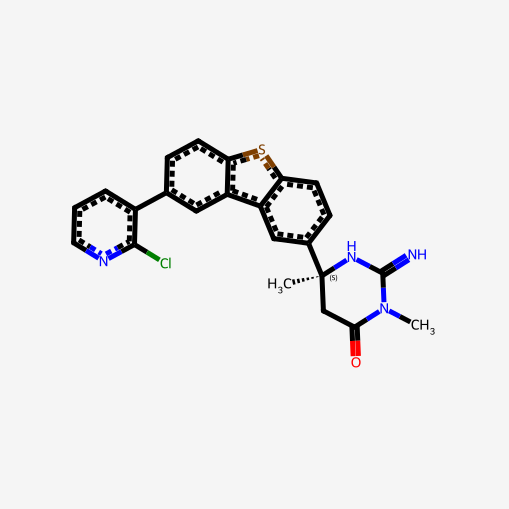 CN1C(=N)N[C@](C)(c2ccc3sc4ccc(-c5cccnc5Cl)cc4c3c2)CC1=O